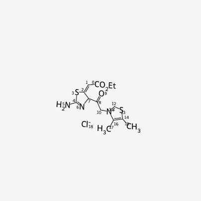 CCOC(=O)C=C1SC(N)=NC1C(=O)C[n+]1csc(C)c1C.[Cl-]